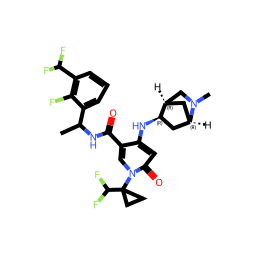 CC(NC(=O)c1cn(C2(C(F)F)CC2)c(=O)cc1N[C@@H]1C[C@H]2C[C@@H]1CN2C)c1cccc(C(F)F)c1F